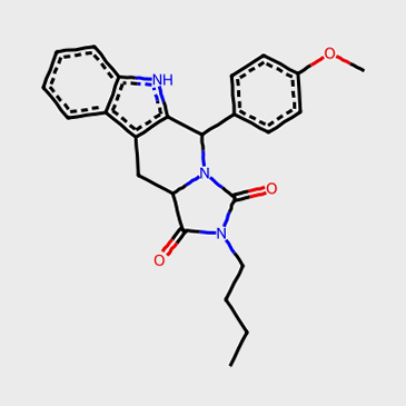 CCCCN1C(=O)C2Cc3c([nH]c4ccccc34)C(c3ccc(OC)cc3)N2C1=O